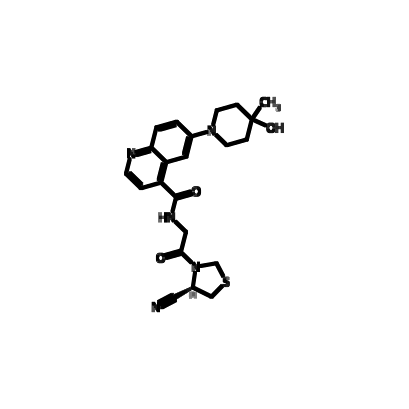 CC1(O)CCN(c2ccc3nccc(C(=O)NCC(=O)N4CSC[C@H]4C#N)c3c2)CC1